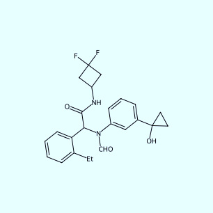 CCc1ccccc1C(C(=O)NC1CC(F)(F)C1)N(C=O)c1cccc(C2(O)CC2)c1